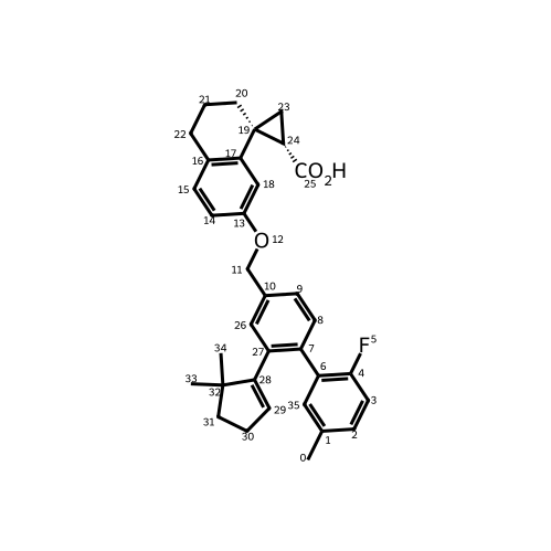 Cc1ccc(F)c(-c2ccc(COc3ccc4c(c3)[C@@]3(CCC4)C[C@@H]3C(=O)O)cc2C2=CCCC2(C)C)c1